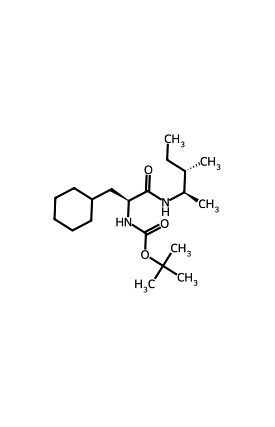 CC[C@H](C)[C@@H](C)NC(=O)[C@H](CC1CCCCC1)NC(=O)OC(C)(C)C